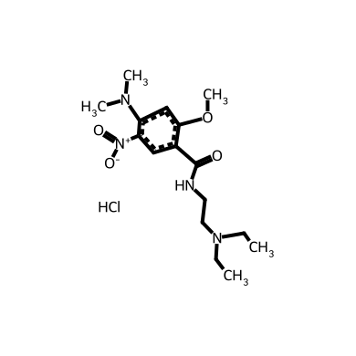 CCN(CC)CCNC(=O)c1cc([N+](=O)[O-])c(N(C)C)cc1OC.Cl